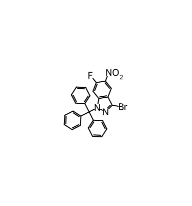 O=[N+]([O-])c1cc2c(Br)nn(C(c3ccccc3)(c3ccccc3)c3ccccc3)c2cc1F